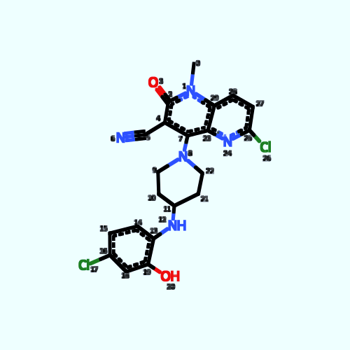 Cn1c(=O)c(C#N)c(N2CCC(Nc3ccc(Cl)cc3O)CC2)c2nc(Cl)ccc21